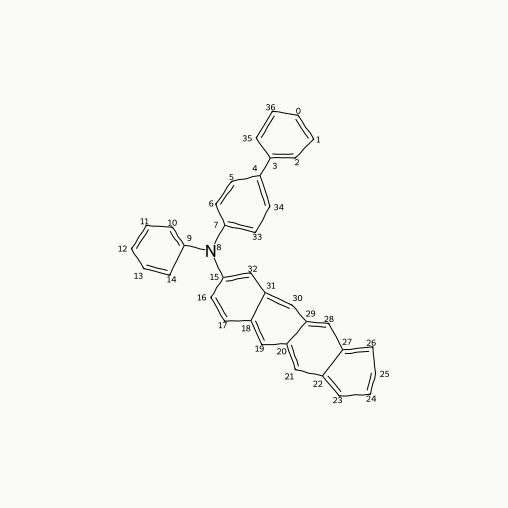 c1ccc(-c2ccc(N(c3ccccc3)c3ccc4cc5cc6ccccc6cc5cc4c3)cc2)cc1